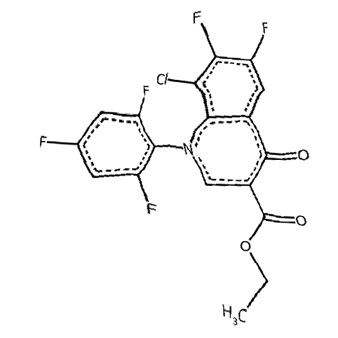 CCOC(=O)c1cn(-c2c(F)cc(F)cc2F)c2c(Cl)c(F)c(F)cc2c1=O